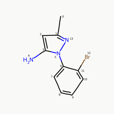 Cc1cc(N)n(-c2ccccc2Br)n1